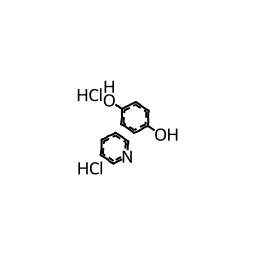 Cl.Cl.Oc1ccc(O)cc1.c1ccncc1